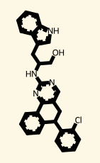 OCC(Cc1c[nH]c2ccccc12)Nc1ncc2c(n1)-c1ccccc1C(c1ccccc1Cl)C2